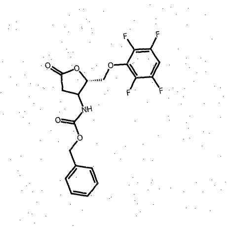 O=C1CC(NC(=O)OCc2ccccc2)[C@@H](COc2c(F)c(F)cc(F)c2F)O1